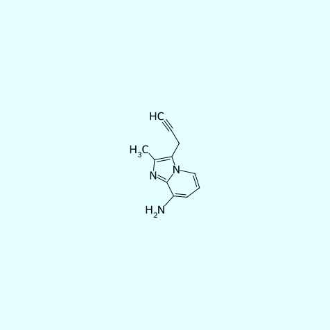 C#CCc1c(C)nc2c(N)cccn12